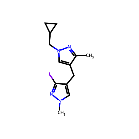 Cc1nn(CC2CC2)cc1Cc1cn(C)nc1I